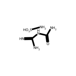 N=C(N)NC(N)=O.NS(=O)(=O)O